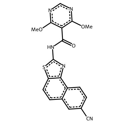 COc1ncnc(OC)c1C(=O)Nc1nc2c(ccc3cc(C#N)ccc32)s1